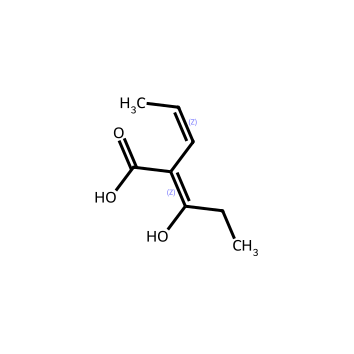 C/C=C\C(C(=O)O)=C(\O)CC